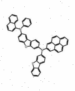 c1ccc(N(c2ccc3oc4cc(N(c5cc6ccc7cccc8ccc(c5)c6c78)c5ccc6c(c5)sc5ccccc56)ccc4c3c2)c2cccc3ccccc23)cc1